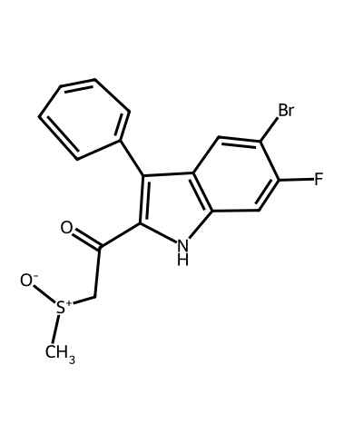 C[S+]([O-])CC(=O)c1[nH]c2cc(F)c(Br)cc2c1-c1ccccc1